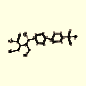 CC(C)C[C@@H](C(N)=O)N(CC#N)[C@@H](c1ccc(-c2ccc(S(=O)(=O)C(C)C)cc2)cc1)C(F)(F)F